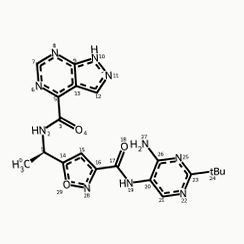 C[C@@H](NC(=O)c1ncnc2[nH]ncc12)c1cc(C(=O)Nc2cnc(C(C)(C)C)nc2N)no1